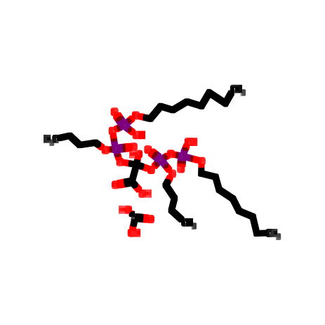 CCCCCCCCOP(=O)(O)OP(=O)(OCCCC)OC(O)(OP(=O)(OCCCC)OP(=O)(O)OCCCCCCCC)C(=O)O.[O]=[Ti]([OH])[OH]